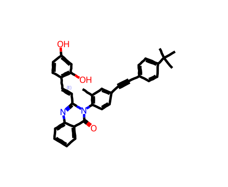 Cc1cc(C#Cc2ccc(C(C)(C)C)cc2)ccc1-n1c(/C=C/c2ccc(O)cc2O)nc2ccccc2c1=O